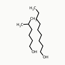 CC(C)CCCCO.CCCCCCCCCO